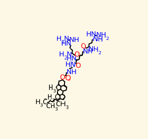 CC(C)CCCC(C)C1CCC2C3CC=C4CC(OC(=O)CNCCNC(=O)C(CCCCNC(=O)C(N)CCCNC(=N)N)NC(=O)C(N)CCCNC(=N)N)CCC4(C)C3CCC12C